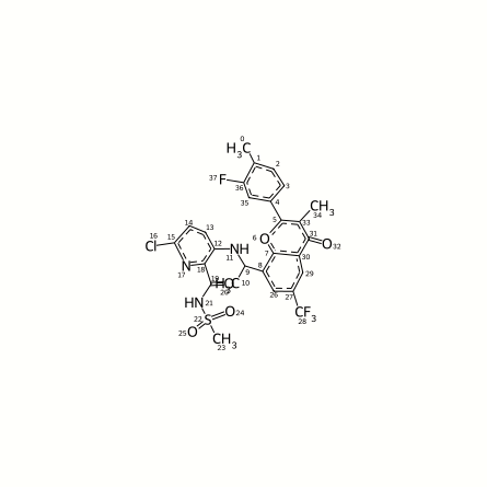 Cc1ccc(-c2oc3c(C(C)Nc4ccc(Cl)nc4C(=O)NS(C)(=O)=O)cc(C(F)(F)F)cc3c(=O)c2C)cc1F